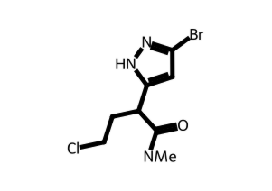 CNC(=O)C(CCCl)c1cc(Br)n[nH]1